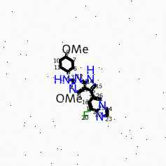 COc1nc(N[C@H]2CC[C@H](OC)CC2)nc2[nH]cc(-c3cc(F)c4nccn4c3)c12